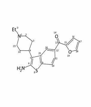 CCN1CCC(c2c(N)sc3ccc(C(=O)c4ccco4)cc23)CC1